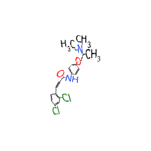 CCN(CC)C(C)COc1ccc(NC(=O)C#Cc2ccc(Cl)cc2Cl)cc1